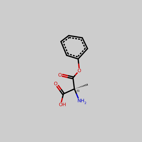 C[C@](N)(C(=O)O)C(=O)Oc1ccccc1